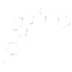 CC12C[C@H](NC(=O)Oc3ccccc3)C(C)(O1)[C@H]1C(=O)N(c3ccc(C#N)c(C(F)(F)F)c3)C(=O)[C@H]12